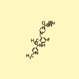 Cc1ccc(C(=O)Nc2cc(F)cc(CN3CCN(C(=O)BC(C)(C)C)CC3)c2C)cn1